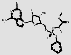 COC(=O)[C@H](C)NP(=O)(OC[C@H]1O[C@@H](n2ccc3c(N)nc(Cl)nc32)[C@@H](F)[C@@H]1O)Oc1ccccc1